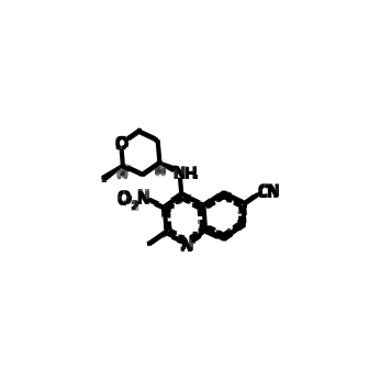 Cc1nc2ccc(C#N)cc2c(N[C@@H]2CCO[C@H](C)C2)c1[N+](=O)[O-]